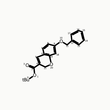 CC(C)(C)OC(=O)C1=Cc2ccc(OCc3ccccc3)cc2OC1